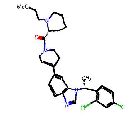 COCCN1CCCC[C@@H]1C(=O)N1CC=C(c2ccc3ncn([C@H](C)c4ccc(Cl)cc4Cl)c3c2)CC1